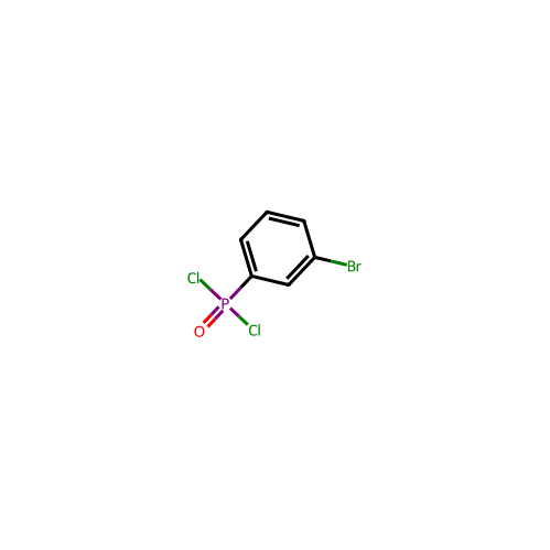 O=P(Cl)(Cl)c1cccc(Br)c1